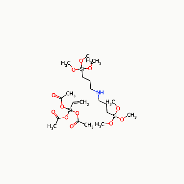 C=C[Si](OC(C)=O)(OC(C)=O)OC(C)=O.CO[Si](CCCNCCC[Si](OC)(OC)OC)(OC)OC